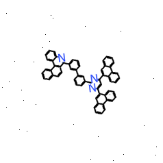 c1cc(-c2cccc(-c3nc4ccccc4c4c3ccc3ccccc34)c2)cc(-c2nc(-c3cc4ccccc4c4ccccc34)cc(-c3cc4ccccc4c4ccccc34)n2)c1